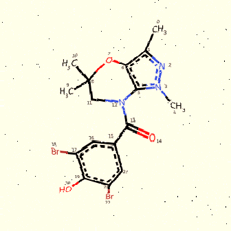 Cc1nn(C)c2c1OC(C)(C)CN2C(=O)c1cc(Br)c(O)c(Br)c1